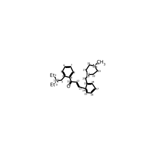 CCN(CC)Cc1ccccc1C(=O)C=Cc1ccccc1CN1CCN(C)CC1